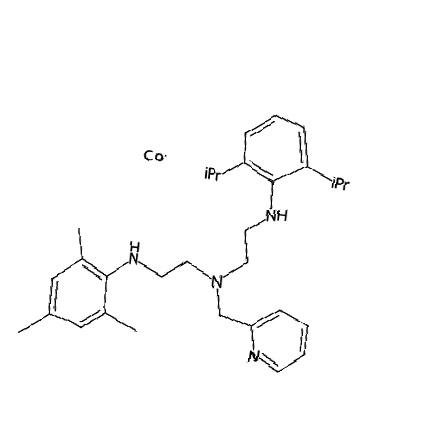 Cc1cc(C)c(NCCN(CCNc2c(C(C)C)cccc2C(C)C)Cc2ccccn2)c(C)c1.[Co]